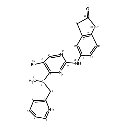 CN(Cc1ccccn1)c1nc(Nc2ccc3c(c2)CC(=O)N3)ncc1Br